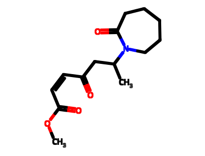 COC(=O)/C=C\C(=O)CC(C)N1CCCCCC1=O